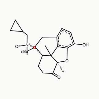 CCCCO[C@@]12CCC(=O)[C@@H]3Oc4c(O)ccc(c4C31C)C[C@H]2[N+](C)([O-])CC1CC1